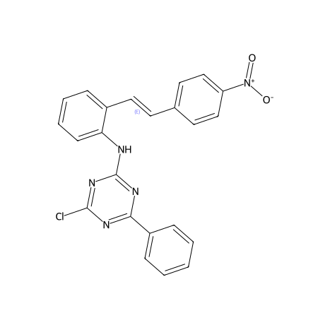 O=[N+]([O-])c1ccc(/C=C/c2ccccc2Nc2nc(Cl)nc(-c3ccccc3)n2)cc1